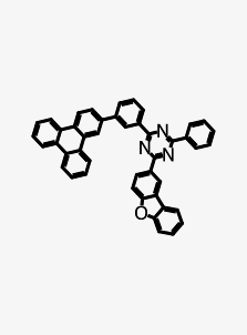 c1ccc(-c2nc(-c3cccc(-c4ccc5c6ccccc6c6ccccc6c5c4)c3)nc(-c3ccc4oc5ccccc5c4c3)n2)cc1